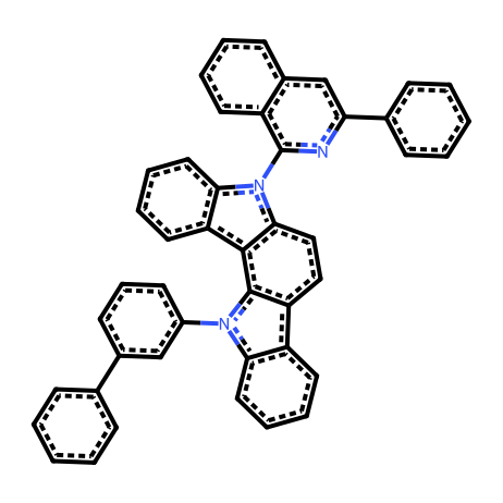 c1ccc(-c2cccc(-n3c4ccccc4c4ccc5c(c6ccccc6n5-c5nc(-c6ccccc6)cc6ccccc56)c43)c2)cc1